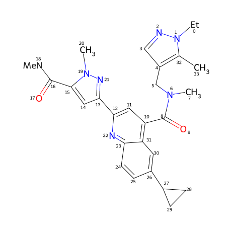 CCn1ncc(CN(C)C(=O)c2cc(-c3cc(C(=O)NC)n(C)n3)nc3ccc(C4CC4)cc23)c1C